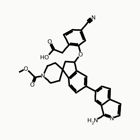 COC(=O)N1CCC2(CC1)CC(Oc1cc(C#N)ccc1CC(=O)O)c1cc(-c3ccc4ccnc(N)c4c3)ccc12